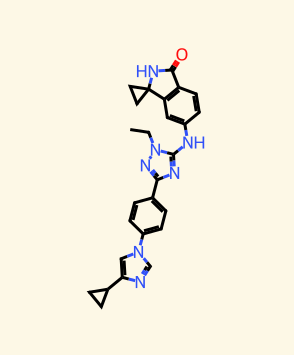 CCn1nc(-c2ccc(-n3cnc(C4CC4)c3)cc2)nc1Nc1ccc2c(c1)C1(CC1)NC2=O